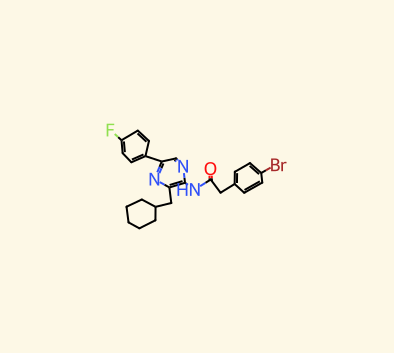 O=C(Cc1ccc(Br)cc1)Nc1ncc(-c2ccc(F)cc2)nc1CC1CCCCC1